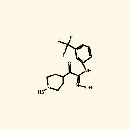 O=C(/C(=N/O)Nc1cccc(C(F)(F)F)c1)C1CCN(S)CC1